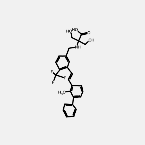 Cc1c(/C=C/c2cc(CNC(CO)(CO)C(=O)O)ccc2C(F)(F)F)cccc1-c1ccccc1